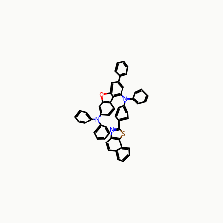 c1ccc(-c2cc(N(c3ccccc3)c3ccc(-c4nc5ccc6ccccc6c5s4)cc3)c3c(c2)oc2cc(N(c4ccccc4)c4ccccc4)ccc23)cc1